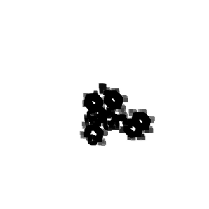 Cc1ccccc1C(C(=O)NC1CCOCC1)N(C(=O)CN1CCCc2ccccc21)c1cccc(F)c1